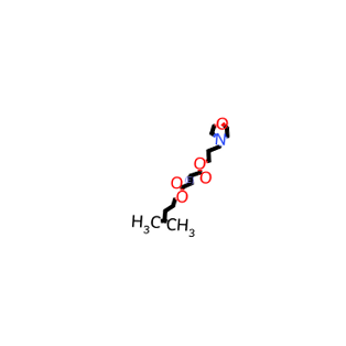 CC(C)CCCOC(=O)/C=C/C(=O)OCCCN1CCOCC1